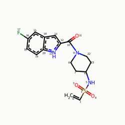 C=CS(=O)(=O)NC1CCN(C(=O)c2cc3cc(F)ccc3[nH]2)CC1